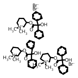 C[N+]1(C)CCCC(OC(=O)C(O)(c2ccccc2)c2ccccc2)C1.C[N+]1(C)CCCC(OC(=O)C(O)(c2ccccc2)c2ccccc2)C1.C[N+]1(C)CCCC(OC(=O)C(O)(c2ccccc2)c2ccccc2)C1.[Br-].[Br-].[Br-]